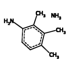 Cc1ccc(N)c(C)c1C.N